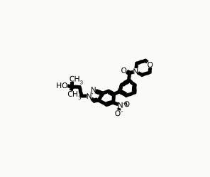 CC(C)(O)CCn1cc2cc([N+](=O)[O-])c(-c3cccc(C(=O)N4CCOCC4)c3)cc2n1